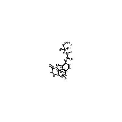 CN(CC(F)(F)CN)C(=O)Oc1ccc2c3c1OC1C(=O)CCC4C(C2)N(C)CCC314